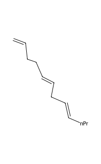 [CH2]CCC=CCC=CCCC=C